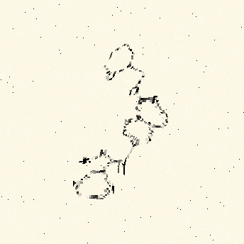 c1cc2cc(Nc3n[nH]c4nccnc34)ccc2c(OCC2CCCCO2)n1